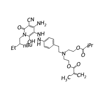 C=C(C)C(=O)OCCN(CCOC(=O)C(C)C)CCc1ccc(NNc2c(N)c(C#N)c(=O)n(CC(CC)CCCC)c2O)cc1